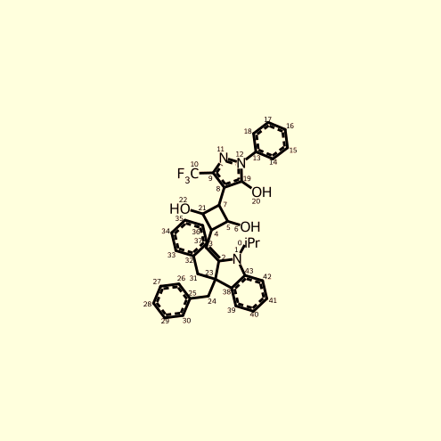 CC(C)N1C(=CC2C(O)C(c3c(C(F)(F)F)nn(-c4ccccc4)c3O)C2O)C(Cc2ccccc2)(Cc2ccccc2)c2ccccc21